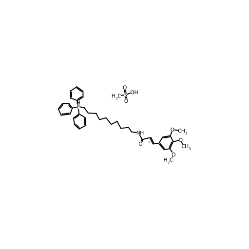 COc1cc(/C=C/C(=O)NCCCCCCCCCC[PH](c2ccccc2)(c2ccccc2)c2ccccc2)cc(OC)c1OC.CS(=O)(=O)O